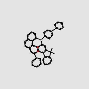 CC1(C)c2ccccc2-c2ccc(N(c3ccc(-c4ccccc4)cc3)c3cccc4ccc5cc(-c6ccccc6)ccc5c34)cc21